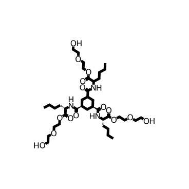 CCCCC(NC(=O)C1C[C@@H](C(=O)N[C@@H](CCCC)C(=O)OCCOCCO)C[C@@H](C(=O)N[C@@H](CCCC)C(=O)OCCOCCO)C1)C(=O)OCCOCCO